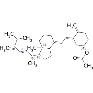 C=C1CC[C@H](OC(C)=O)CC1=CC=C1CCC[C@@]2(C)C1CC[C@@H]2[C@H](C)/C=C/[C@H](C)C(C)C